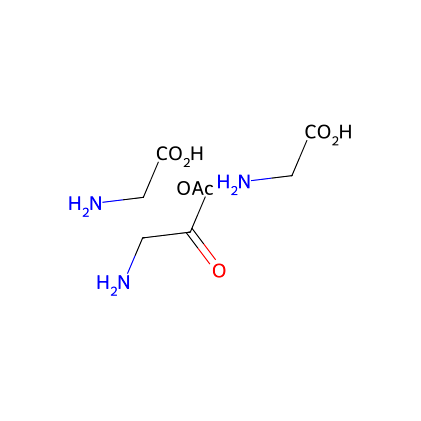 CC(=O)OC(=O)CN.NCC(=O)O.NCC(=O)O